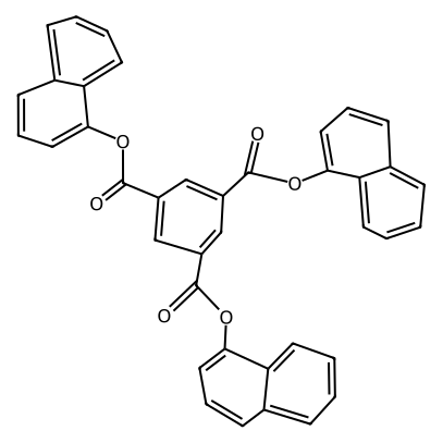 O=C(Oc1cccc2ccccc12)c1cc(C(=O)Oc2cccc3ccccc23)cc(C(=O)Oc2cccc3ccccc23)c1